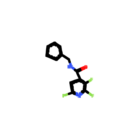 O=C(NCc1ccccc1)c1cc(F)nc(F)c1F